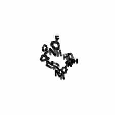 Cl.O=C(Nc1ccc(F)cc1)c1cccc(N2CCN(c3ncnc4ccc(-c5cc[nH]n5)cc34)CC2)c1